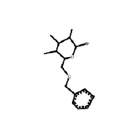 CC1C(Br)OC(COCc2ccccc2)C(C)C1C